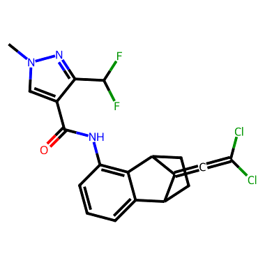 Cn1cc(C(=O)Nc2cccc3c2C2CCC3C2=C=C(Cl)Cl)c(C(F)F)n1